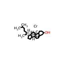 CC(C)CCCC(C)[C@H]1CC[C@H]2[C@@H]3CC=C4C[C@@H](O)CC[C@]4(C)[C@H]3CC[C@]12C.[Cr]